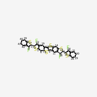 Fc1c(-c2sc3cc4sc5c6cc7c(cc6sc5c4cc3c2F)SC(c2sc3ccccc3c2F)C7F)sc2ccccc12